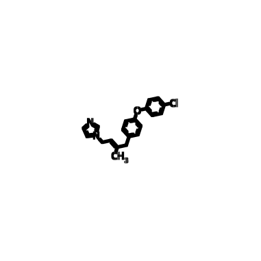 CC(=CCn1ccnc1)Cc1ccc(Oc2ccc(Cl)cc2)cc1